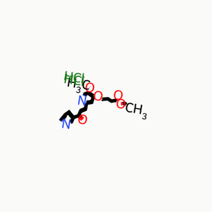 CCOC(=O)CCCOc1cc(C=CC(=O)c2cccnc2)ncc1OC.Cl.Cl